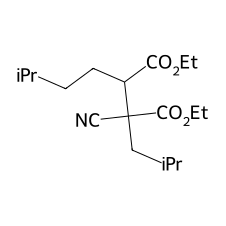 CCOC(=O)C(CCC(C)C)C(C#N)(CC(C)C)C(=O)OCC